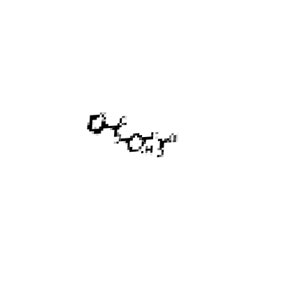 O=C(O)OC1CC(OC(=O)c2cccs2)CN1